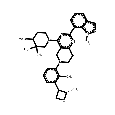 COC1CCN(c2nc(-c3cccc4cnn(C)c34)nc3c2CN(c2cccc(C4CO[C@H]4C)c2C)CC3)CC1(C)C